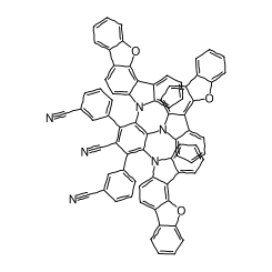 N#Cc1cccc(-c2c(C#N)c(-c3cccc(C#N)c3)c(-n3c4ccccc4c4c5oc6ccccc6c5ccc43)c(-n3c4ccccc4c4c5oc6ccccc6c5ccc43)c2-n2c3ccccc3c3c4oc5ccccc5c4ccc32)c1